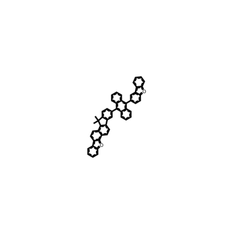 CC1(C)c2ccc(-c3c4ccccc4c(-c4ccc5oc6ccccc6c5c4)c4ccccc34)cc2-c2ccc3c(ccc4c5ccccc5oc34)c21